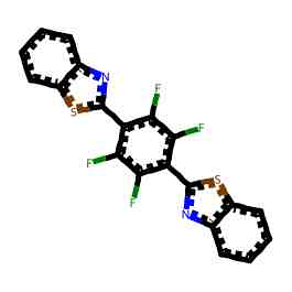 Fc1c(F)c(-c2nc3ccccc3s2)c(F)c(F)c1-c1nc2ccccc2s1